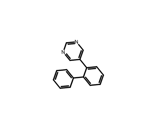 c1ccc(-c2ccccc2-c2cncnc2)cc1